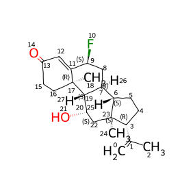 C=C(C)[C@H]1CC[C@H]2[C@@H]3C[C@H](F)C4=CC(=O)CC[C@]4(C)[C@H]3[C@@H](O)C[C@]12C